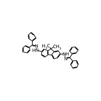 CC1(C)c2cc(NN=C(c3ccccc3)c3ccccc3)ccc2-c2ccc(NN=C(c3ccccc3)c3ccccc3)cc21